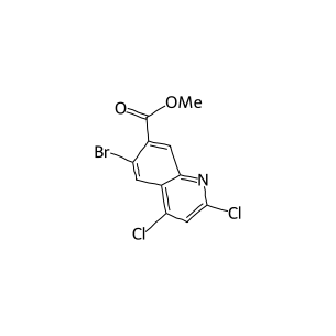 COC(=O)c1cc2nc(Cl)cc(Cl)c2cc1Br